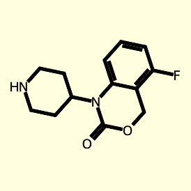 O=C1OCc2c(F)cccc2N1C1CCNCC1